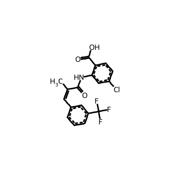 CC(=Cc1cccc(C(F)(F)F)c1)C(=O)Nc1cc(Cl)ccc1C(=O)O